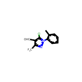 Cc1ccccc1-n1nc(C(F)(F)F)c(C=O)c1Cl